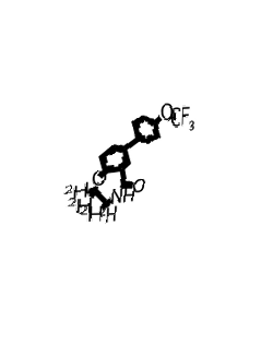 [2H]C1([2H])NC(=O)c2cc(-c3ccc(OC(F)(F)F)cc3)ccc2OC1([2H])[2H]